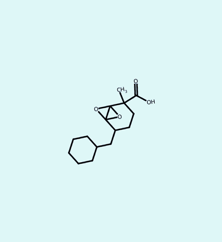 CC1(C(=O)O)CCC(CC2CCCCC2)C23OC12O3